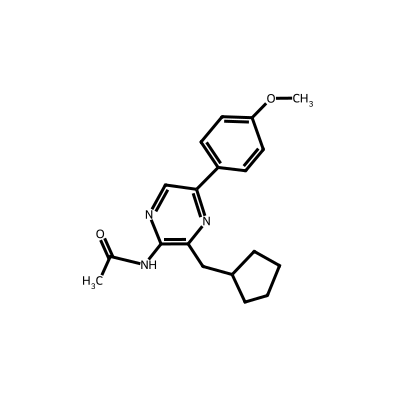 COc1ccc(-c2cnc(NC(C)=O)c(CC3CCCC3)n2)cc1